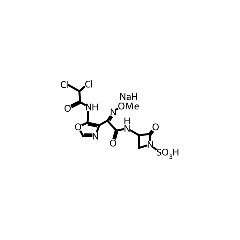 CON=C(C(=O)NC1CN(S(=O)(=O)O)C1=O)c1ncoc1NC(=O)C(Cl)Cl.[NaH]